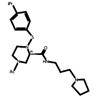 CC(=O)N1CCN(Sc2ccc(C(C)C)cc2)[C@@H](C(=O)NCCCN2CCCC2)C1